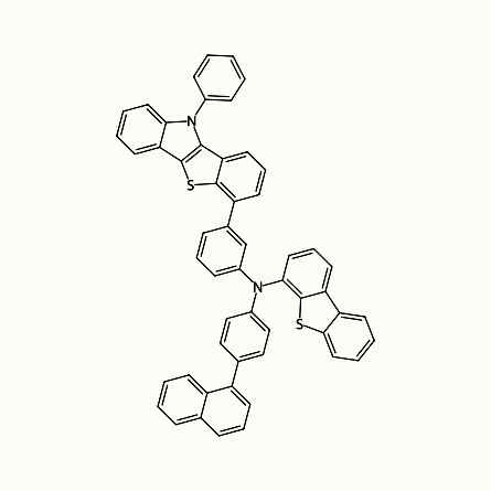 c1ccc(-n2c3ccccc3c3sc4c(-c5cccc(N(c6ccc(-c7cccc8ccccc78)cc6)c6cccc7c6sc6ccccc67)c5)cccc4c32)cc1